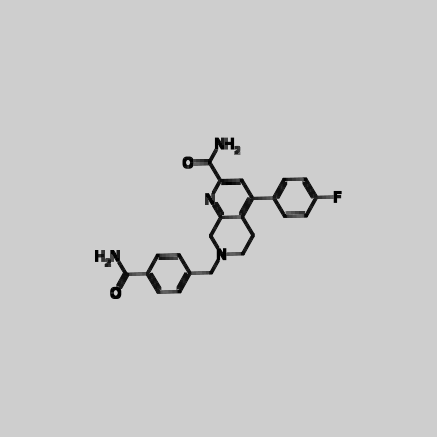 NC(=O)c1ccc(CN2CCc3c(-c4ccc(F)cc4)cc(C(N)=O)nc3C2)cc1